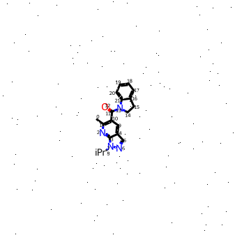 Cc1nc2c(cnn2C(C)C)cc1C(=O)N1CCc2ccccc21